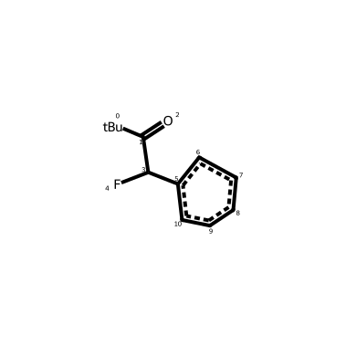 CC(C)(C)C(=O)C(F)c1ccccc1